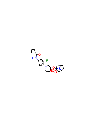 O=C(Nc1ccc(N2CCCC(OC(=O)N3C4CCC3CC(O)C4)C2)c(F)c1)C1CCC1